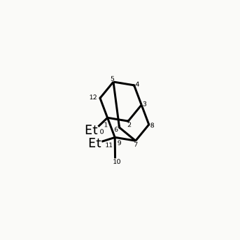 CCC12CC3CC(CC(C3)C1(C)CC)C2